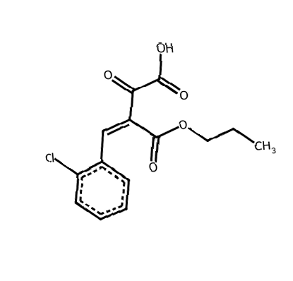 CCCOC(=O)C(=Cc1ccccc1Cl)C(=O)C(=O)O